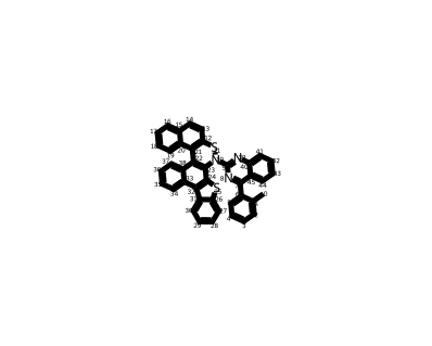 Cc1ccccc1-c1nc(N2Sc3ccc4ccccc4c3-c3c2c2sc4ccccc4c2c2ccccc32)nc2ccccc12